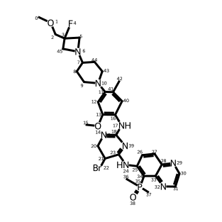 COCC1(F)CN(C2CCN(c3cc(OC)c(NC4=NCC(Br)C(Nc5ccc6nccnc6c5P(C)(C)=O)=N4)cc3C)CC2)C1